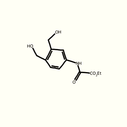 CCOC(=O)C(=O)Nc1ccc(CO)c(CO)c1